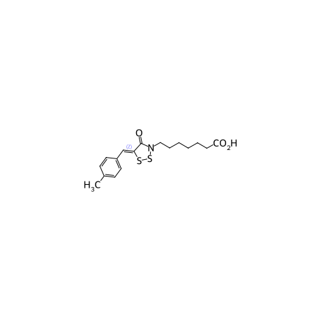 Cc1ccc(/C=C2\SSN(CCCCCCC(=O)O)C2=O)cc1